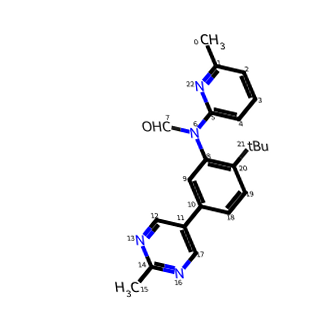 Cc1cccc(N(C=O)c2cc(-c3cnc(C)nc3)ccc2C(C)(C)C)n1